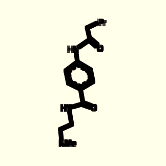 CNCCNC(=O)c1ccc(NC(=O)CC(C)C)cc1